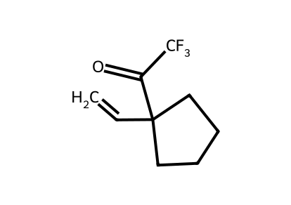 C=CC1(C(=O)C(F)(F)F)CCCC1